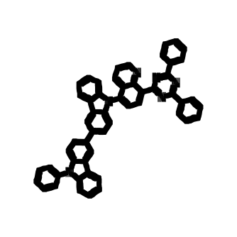 c1ccc(-c2nc(-c3ccccc3)nc(-c3ccc(-n4c5ccccc5c5cc(-c6ccc7c(c6)c6ccccc6n7-c6ccccc6)ccc54)c4cccnc34)n2)cc1